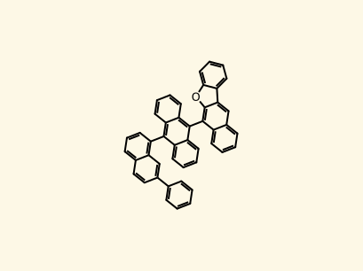 c1ccc(-c2ccc3cccc(-c4c5ccccc5c(-c5c6ccccc6cc6c5oc5ccccc56)c5ccccc45)c3c2)cc1